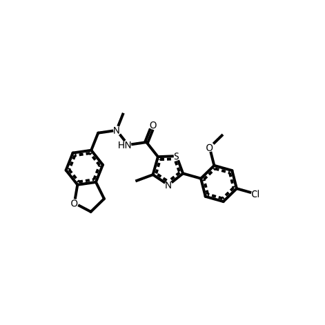 COc1cc(Cl)ccc1-c1nc(C)c(C(=O)NN(C)Cc2ccc3c(c2)CCO3)s1